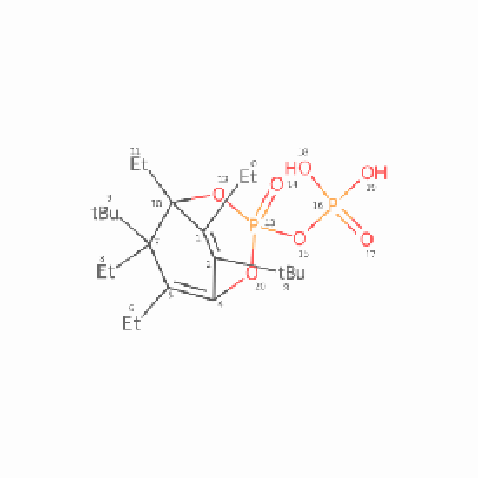 CCC1=C(C(C)(C)C)C2=C(CC)C(CC)(C(C)(C)C)C1(CC)OP(=O)(OP(=O)(O)O)O2